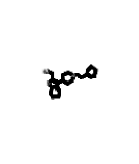 OCc1sc2ccccc2c1C1CCN(CCc2ccccc2)CC1